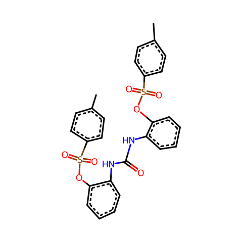 Cc1ccc(S(=O)(=O)Oc2ccccc2NC(=O)Nc2ccccc2OS(=O)(=O)c2ccc(C)cc2)cc1